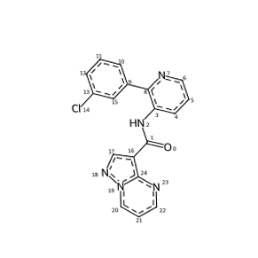 O=C(Nc1cccnc1-c1cccc(Cl)c1)c1cnn2cccnc12